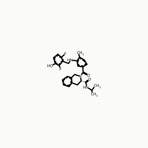 Cc1ccc(C(=O)N2Cc3ccccc3C[C@H]2C(=O)NC(C)C)cc1NCc1c(F)ccc(O)c1F